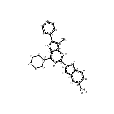 CCn1c(-c2ccncc2)nc2c(N3CCOCC3)nc(-n3cc4cc(C)ccc4n3)nc21